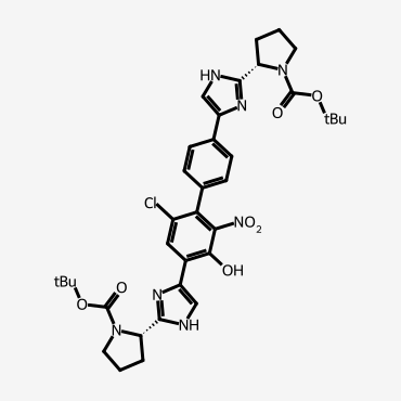 CC(C)(C)OC(=O)N1CCC[C@H]1c1nc(-c2ccc(-c3c(Cl)cc(-c4c[nH]c([C@@H]5CCCN5C(=O)OC(C)(C)C)n4)c(O)c3[N+](=O)[O-])cc2)c[nH]1